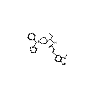 CCC(NC(=O)C=Cc1ccc(O)c(OC)c1)N1CCN(C(c2ccccc2)c2ccccc2)CC1